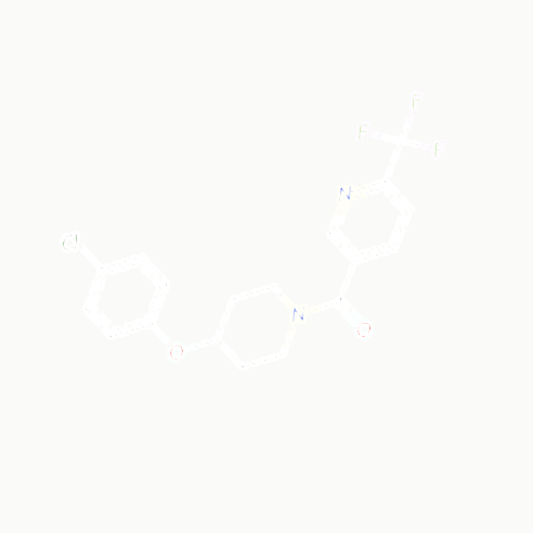 O=C(c1ccc(C(F)(F)F)nc1)N1CCC(Oc2ccc(Cl)cc2)CC1